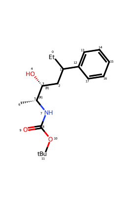 CCC(C[C@@H](O)[C@@H](C)NC(=O)OC(C)(C)C)c1ccccc1